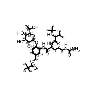 CC(C)C(NC(C)(C)C)C(=O)NC(CCCNC(N)=O)C(=O)Nc1cc(COC(=O)C(C)(C)C)ccc1O[C@@H]1O[C@H](C(=O)O)[C@@H](O)[C@H](O)[C@H]1O